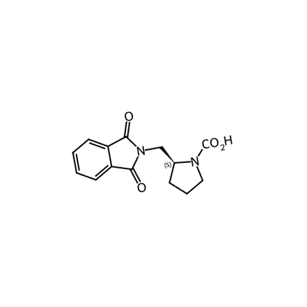 O=C1c2ccccc2C(=O)N1C[C@@H]1CCCN1C(=O)O